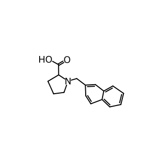 O=C(O)C1CCCN1Cc1ccc2ccccc2c1